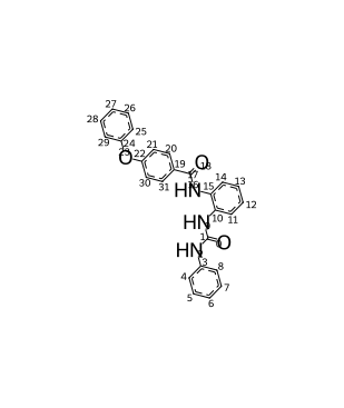 O=C(Nc1ccccc1)Nc1ccccc1NC(=O)c1ccc(Oc2ccccc2)cc1